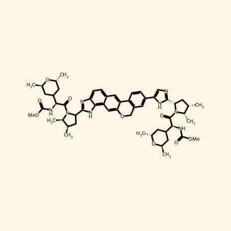 COC(=O)N[C@H](C(=O)N1C(c2nc3ccc4cc5c(cc4c3[nH]2)OCc2cc(-c3cnc([C@@H]4C[C@H](C)[C@H](C)N4C(=O)[C@@H](NC(=O)OC)C4C[C@@H](C)O[C@H](C)C4)[nH]3)ccc2-5)C[C@@H](C)[C@H]1C)C1C[C@@H](C)O[C@H](C)C1